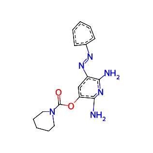 Nc1nc(N)c(OC(=O)N2CCCCC2)cc1/N=N/c1ccccc1